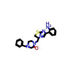 Nc1ccccc1-c1cn2c(n1)SCC2CN1CCN(Cc2ccccc2)CC1=O